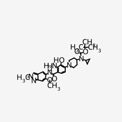 COc1cc2nn(C)cc2cc1NC(=O)c1ccc(N2CCC(N(C(=O)OC(C)(C)C)C3CC3)CC2)c(O)c1N